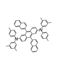 Cc1ccc(N(c2cc(C)cc(C)c2)c2ccc3c(-c4ccc5ccccc5c4)c4cc(N(c5ccc(C)cc5)c5cc(C)cc(C)c5)ccc4c(-c4ccc5ccccc5c4)c3c2)cc1